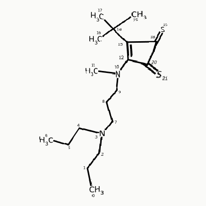 CCCN(CCC)CCCN(C)c1c(C(C)(C)C)c(=S)c1=S